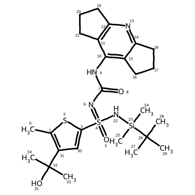 Cc1sc(S(=O)(=NC(=O)Nc2c3c(nc4c2CCC4)CCC3)N[Si](C)(C)C(C)(C)C)cc1C(C)(C)O